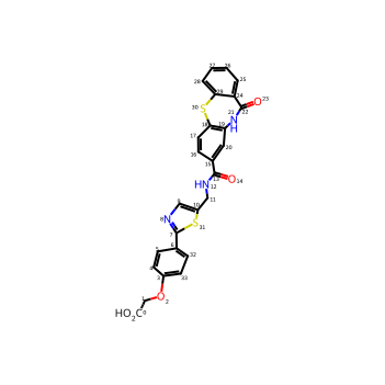 O=C(O)COc1ccc(-c2ncc(CNC(=O)c3ccc4c(c3)NC(=O)c3ccccc3S4)s2)cc1